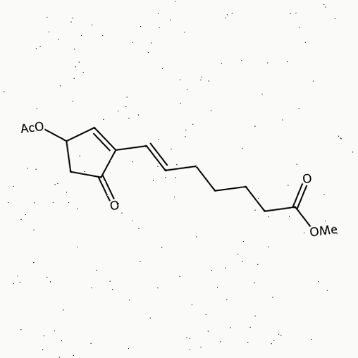 COC(=O)CCCCC=CC1=CC(OC(C)=O)CC1=O